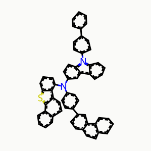 c1ccc(-c2ccc(-n3c4ccccc4c4cc(N(c5ccc(-c6ccc7ccc8ccccc8c7c6)cc5)c5cccc6sc7c8ccccc8ccc7c56)ccc43)cc2)cc1